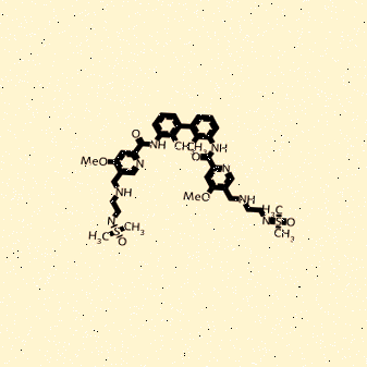 COc1cc(C(=O)Nc2cccc(-c3cccc(NC(=O)c4cc(OC)c(CNCCN=S(C)(C)=O)cn4)c3C)c2C)ncc1CNCCN=S(C)(C)=O